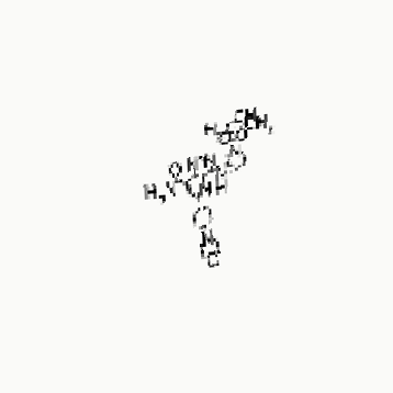 CC(C)(C)OC(=O)N1CCC[C@H](Nc2ncnc3c(C(N)=O)cc(C4=CCC(N5CCOCC5)CC4)nc23)C1